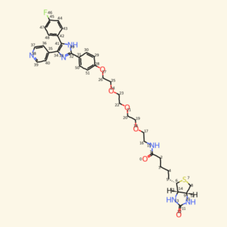 O=C(CCCC[C@@H]1SC[C@@H]2NC(=O)N[C@@H]21)NCCOCCOCCOCCOc1ccc(-c2nc(-c3ccncc3)c(-c3ccc(F)cc3)[nH]2)cc1